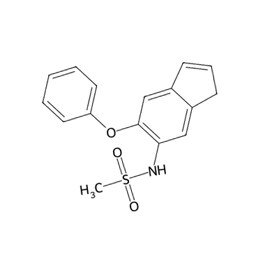 CS(=O)(=O)Nc1cc2c(cc1Oc1ccccc1)C=CC2